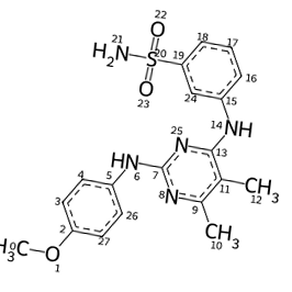 COc1ccc(Nc2nc(C)c(C)c(Nc3cccc(S(N)(=O)=O)c3)n2)cc1